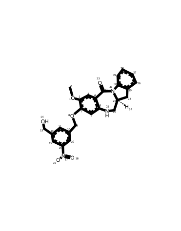 COc1cc2c(cc1OCc1cc(CO)cc([N+](=O)[O-])c1)NC[C@@H]1Cc3ccccc3N1C2=O